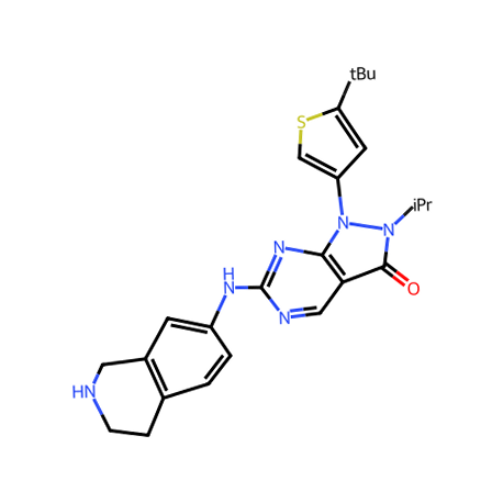 CC(C)n1c(=O)c2cnc(Nc3ccc4c(c3)CNCC4)nc2n1-c1csc(C(C)(C)C)c1